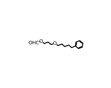 O=[C]OCCCOCCCCCc1ccccc1